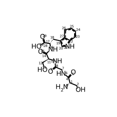 N[C@@H](CO)C(=O)NCC(=O)N[C@@H](CO)C(=O)N[C@@H](Cc1c[nH]c2ccccc12)C(=O)O